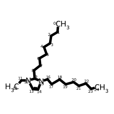 CCCCCCCCCC1N(CC)C=CN1CCCCCCCCC